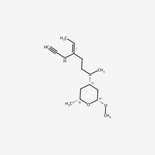 C#CN/C(=C\C)CCN(C)[C@@H]1C[C@H](OC)O[C@H](C)C1